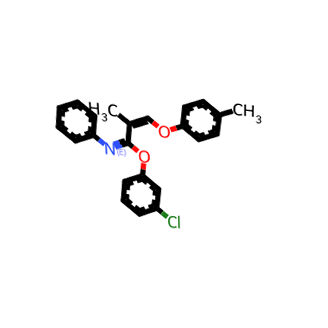 CC(=COc1ccc(C)cc1)/C(=N\c1ccccc1)Oc1cccc(Cl)c1